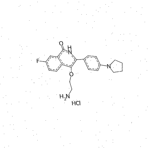 Cl.NCCOc1c(-c2ccc(N3CCCC3)cc2)[nH]c(=O)c2cc(F)ccc12